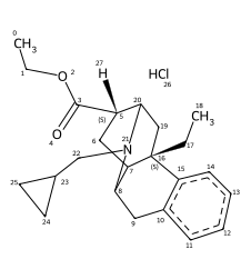 CCOC(=O)[C@H]1CC2C3Cc4ccccc4[C@@]2(CC)CC1N3CC1CC1.Cl